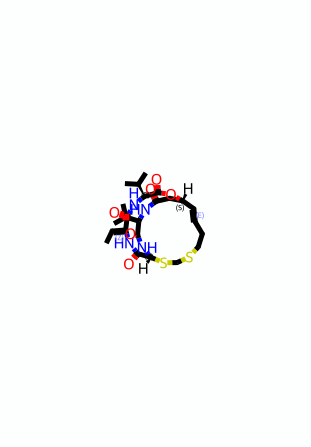 C/C=C1\NC(=O)[C@@H]2NC(=O)C(C(C)C)NC(=O)C[C@@H](/C=C/CCSCS2)OC(=O)[C@H](C(C)C)NC1=O